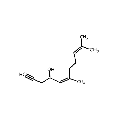 C#CCC(O)C=C(C)CCC=C(C)C